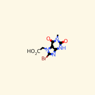 Cn1c(=O)[nH]c2nc(Br)n(CC(=O)O)c2c1=O